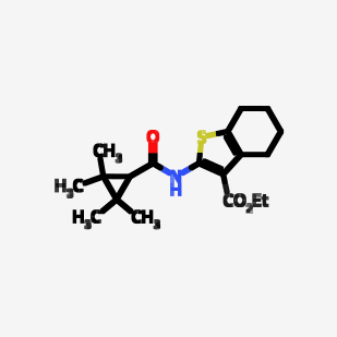 CCOC(=O)c1c(NC(=O)C2C(C)(C)C2(C)C)sc2c1CCCC2